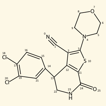 N#Cc1c(N2CCOCC2)sc2c1C(c1ccc(Cl)c(Cl)c1)CNC2=O